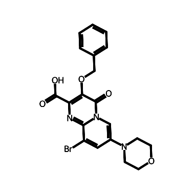 O=C(O)c1nc2c(Br)cc(N3CCOCC3)cn2c(=O)c1OCc1ccccc1